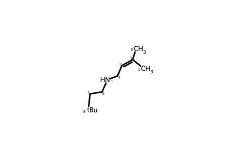 CC(C)=CCNCCC(C)(C)C